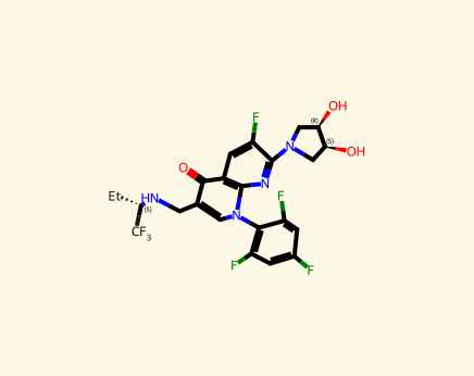 CC[C@H](NCc1cn(-c2c(F)cc(F)cc2F)c2nc(N3C[C@@H](O)[C@@H](O)C3)c(F)cc2c1=O)C(F)(F)F